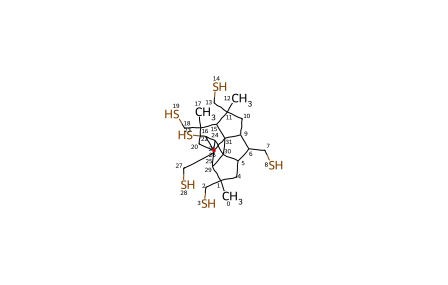 CC1(CS)CC2C(CS)C3CC(C)(CS)C4C(C)(CS)CC5C(S)C6CC(CS)C1C62C534